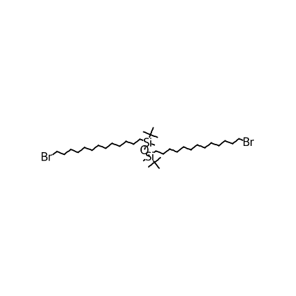 CC(C)(C)[Si](C)(CCCCCCCCCCCCCBr)O[Si](C)(CCCCCCCCCCCCCBr)C(C)(C)C